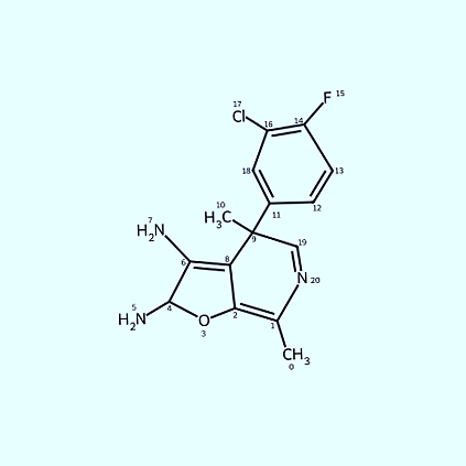 CC1=C2OC(N)C(N)=C2C(C)(c2ccc(F)c(Cl)c2)C=N1